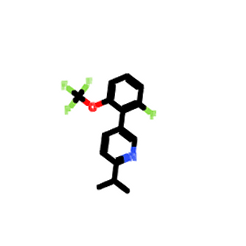 CC(C)c1ccc(-c2c(F)cccc2OC(F)(F)F)cn1